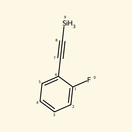 Fc1ccccc1C#C[SiH3]